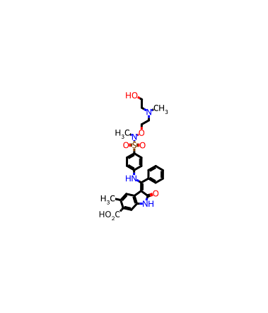 Cc1cc2c(cc1C(=O)O)NC(=O)C2=C(Nc1ccc(S(=O)(=O)N(C)OCCN(C)CCO)cc1)c1ccccc1